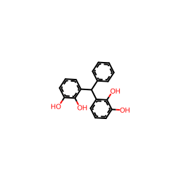 Oc1cccc(C(c2ccccc2)c2cccc(O)c2O)c1O